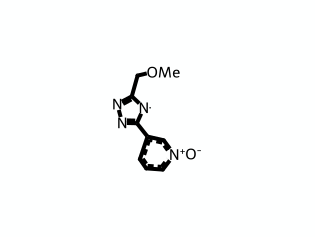 COCC1=NN=C(c2ccc[n+]([O-])c2)[N]1